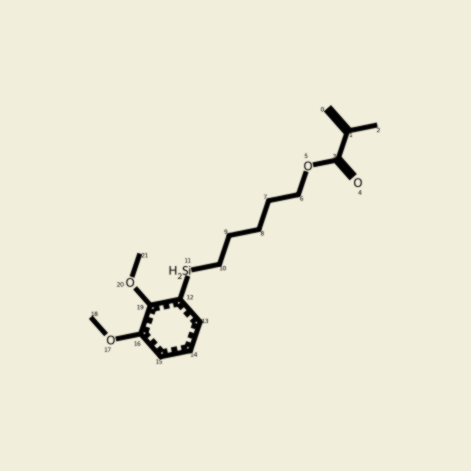 C=C(C)C(=O)OCCCCC[SiH2]c1cccc(OC)c1OC